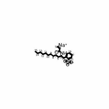 C=CC(=O)NC(CCCCCCCCCC)Cc1ccccc1S(=O)(=O)[O-].[Na+]